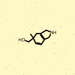 CC1(CO)C=CC2=C(CNC2)C1